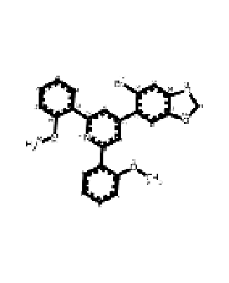 COc1ccccc1-c1cc(-c2cc3c(cc2Br)OCO3)cc(-c2ccccc2OC)n1